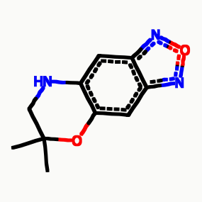 CC1(C)CNc2cc3nonc3cc2O1